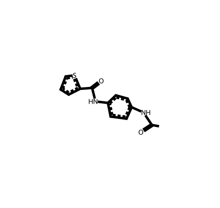 CC(=O)Nc1ccc(NC(=O)c2cccs2)cc1